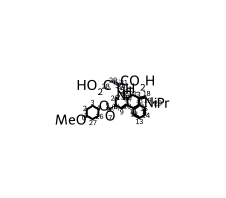 COC1CCC(OC(=O)[C@@H]2C=C3c4cccc5c4c(cn5C(C)C)C[C@H]3N(C)C2)CC1.O=C(O)/C=C/C(=O)O